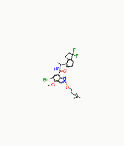 COc1c(Br)cc(C(=O)NC(C)c2cccc3c2CCC3(F)F)c2nn(COCC[Si](C)(C)C)cc12